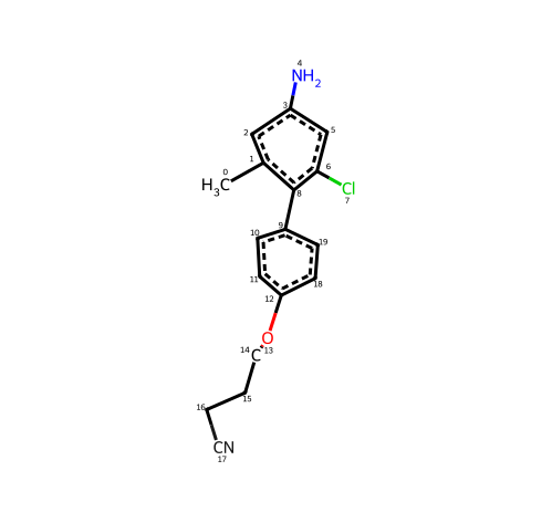 Cc1cc(N)cc(Cl)c1-c1ccc(OCCCC#N)cc1